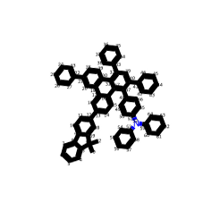 CC1(C)c2ccccc2-c2ccc(-c3ccc4c(c3)c3cc(-c5ccccc5)ccc3c3c(-c5ccccc5)cc(-c5ccccc5)c(-c5ccc(N(c6ccccc6)c6ccccc6)cc5)c43)cc21